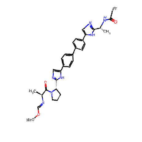 COO/C=N/[C@@H](C)C(=O)N1CCC[C@H]1c1ncc(-c2ccc(-c3ccc(-c4cnc([C@@H](C)NC(=O)C(C)C)[nH]4)cc3)cc2)[nH]1